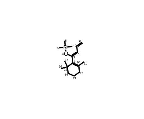 C=CC=C(O[Si](C)(C)C)C1=C(C)CCCC1(C)C